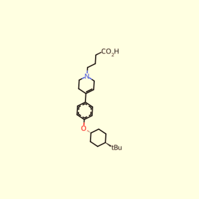 CC(C)(C)[C@H]1CC[C@H](Oc2ccc(C3=CCN(CCCC(=O)O)CC3)cc2)CC1